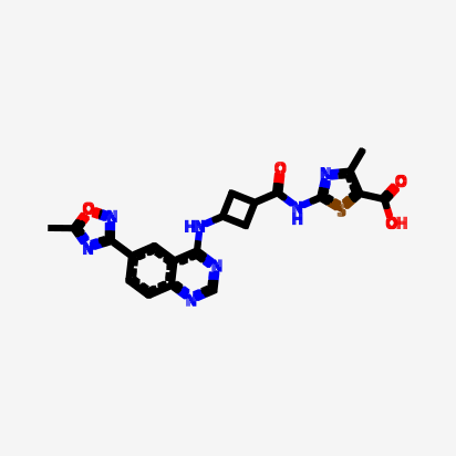 Cc1nc(-c2ccc3ncnc(NC4CC(C(=O)Nc5nc(C)c(C(=O)O)s5)C4)c3c2)no1